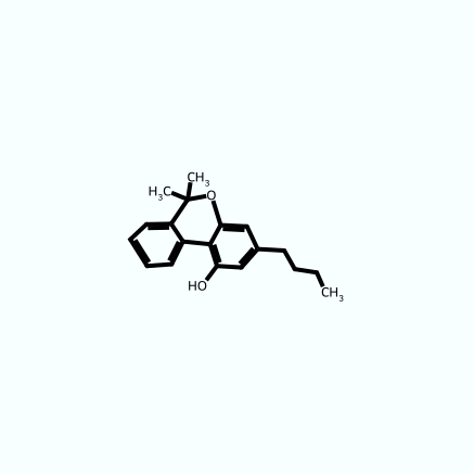 CCCCc1cc(O)c2c(c1)OC(C)(C)c1ccccc1-2